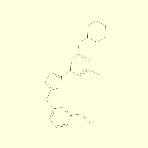 CNCc1cccc(Nc2ncc(-c3cc(C)nc(OC4CCCCC4)n3)s2)n1